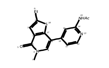 CCc1cc2c(=O)n(C)cc(-c3ccnc(NC(C)=O)c3)c2s1